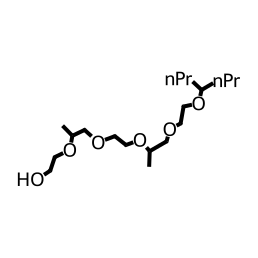 CCCC(CCC)OCCOCC(C)OCCOCC(C)OCCO